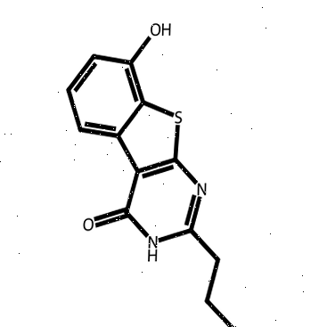 CCCc1nc2sc3c(O)cccc3c2c(=O)[nH]1